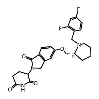 O=C1CCC(N2Cc3cc(OC[C@H]4CCCCN4Cc4ccc(F)cc4F)ccc3C2=O)C(=O)N1